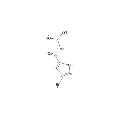 O=C(NC(O)C(Cl)(Cl)Cl)c1cc(Br)co1